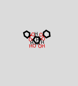 O[C@H]1[C@H](O)[C@@H]2OC3(CCCCC3)O[C@@H]2[C@H]2OC3(CCCCC3)O[C@H]12